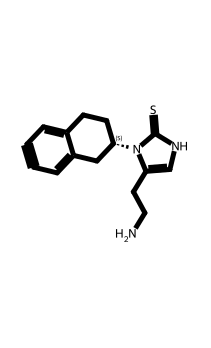 NCCc1c[nH]c(=S)n1[C@H]1CCc2cc#ccc2C1